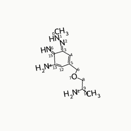 CN/N=C1/C=C(COC[C@@H](C)N)C=C(N)C1=N